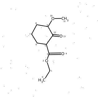 CCOC(=O)C1CCCC(OC)C1=O